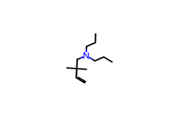 C=CC(C)(C)CN(CCC)CCC